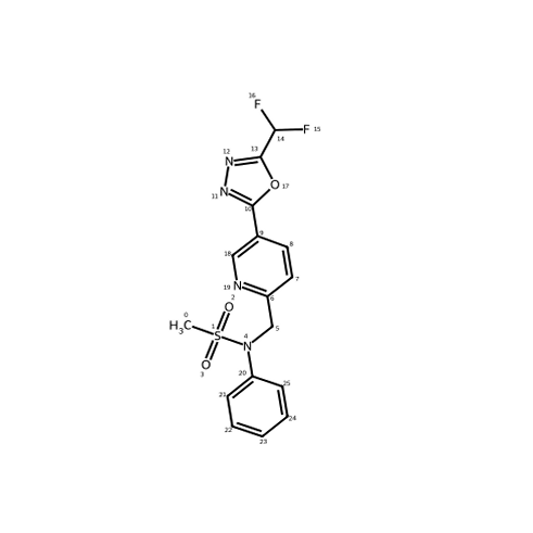 CS(=O)(=O)N(Cc1ccc(-c2nnc(C(F)F)o2)cn1)c1ccccc1